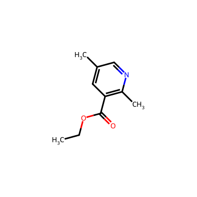 CCOC(=O)c1cc(C)cnc1C